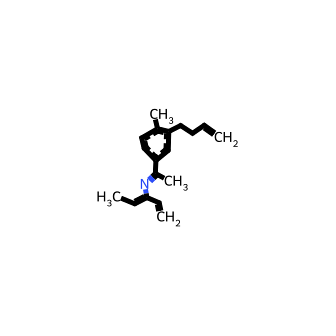 C=CCCc1cc(/C(C)=N/C(C=C)=C\C)ccc1C